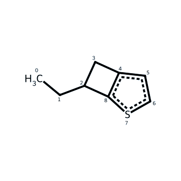 CCC1Cc2ccsc21